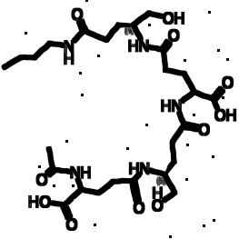 CCCCNC(=O)CC[C@@H](CO)NC(=O)CCC(NC(=O)CC[C@@H](CO)NC(=O)CCC(NC(C)=O)C(=O)O)C(=O)O